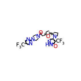 O=C(C[C@H]1CC[C@H]([C@@H]2CCCN2c2cn[nH]c(=O)c2C(F)(F)F)O1)N1CCN(c2ncc(C(F)(F)F)cn2)CC1